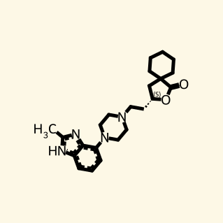 Cc1nc2c(N3CCN(CC[C@@H]4CC5(CCCCC5)C(=O)O4)CC3)cccc2[nH]1